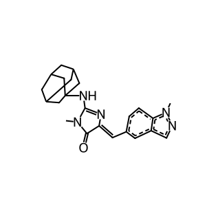 CN1C(=O)/C(=C/c2ccc3c(cnn3C)c2)N=C1NC12CC3CC(CC(C3)C1)C2